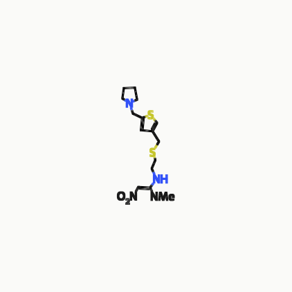 CNC(=C[N+](=O)[O-])NCCSCc1csc(CN2CCCC2)c1